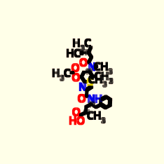 C#C[C@@H](CC)CC(=O)N(C)[C@H](CC(OC(C)=O)c1nc(C(=O)N[C@@H](Cc2ccccc2)C[C@H](C)C(=O)O)cs1)C(C)C